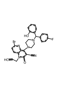 C#CCn1c(=O)c(C#N)c(N2CCN(C(c3ccc(F)cc3)c3ccccc3O)CC2)c2nc(Br)ccc21